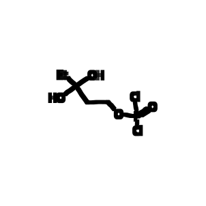 CCC(O)(O)CCOP(=O)(Cl)Cl